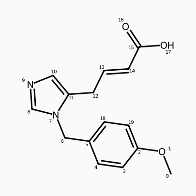 COc1ccc(Cn2cncc2C/C=C/C(=O)O)cc1